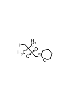 CC(C)(CI)S(=O)(=O)C[C@H]1CCCCO1